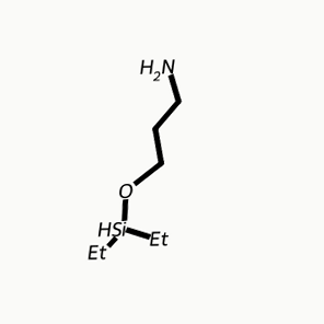 CC[SiH](CC)OCCCN